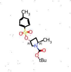 Cc1ccc(S(=O)(=O)O[C@@H]2C[C@@H](C)N(C(=O)OC(C)(C)C)C2)cc1